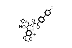 O=C(NC(CN1CCC1)C(O)c1cc(F)c2c(c1)OCCO2)C(=O)c1ccc(-c2ccc(F)cc2)cc1